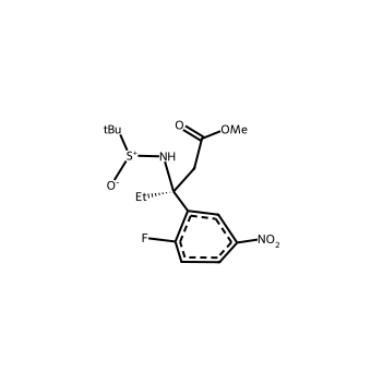 CC[C@@](CC(=O)OC)(N[S+]([O-])C(C)(C)C)c1cc([N+](=O)[O-])ccc1F